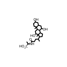 CC(NC(=O)CCC(C)C1CCC2C3C(O)CC4CC(O)CCC4(C)C3CC(O)C12C)C(=O)O